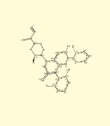 C=CC(=O)N1CCN(c2nc(=O)n(-c3c(C)cccc3CC)c3nc(-c4ccccc4F)c(F)cc23)[C@@H](C)C1